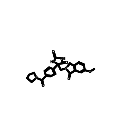 COc1ccc2c(c1)C(=O)N(CC1(c3ccc(C(=O)N4CCCC4)cc3)NC(=O)NC1=O)C2